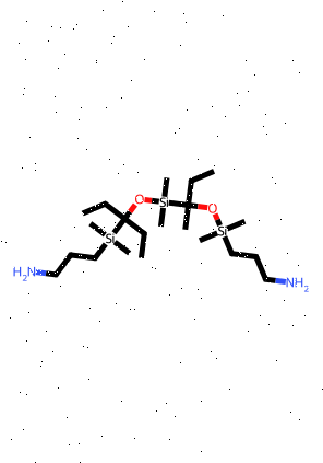 CCC(CC)(O[Si](C)(C)C(C)(CC)O[Si](C)(C)CCCN)[Si](C)(C)CCCN